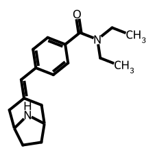 CCN(CC)C(=O)c1ccc(C=C2CC3CCC(C2)N3)cc1